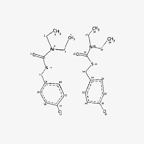 CCN(CC)C(=O)SCc1ccc(Cl)cc1.CCN(CC)C(=O)SCc1ccc(Cl)cc1